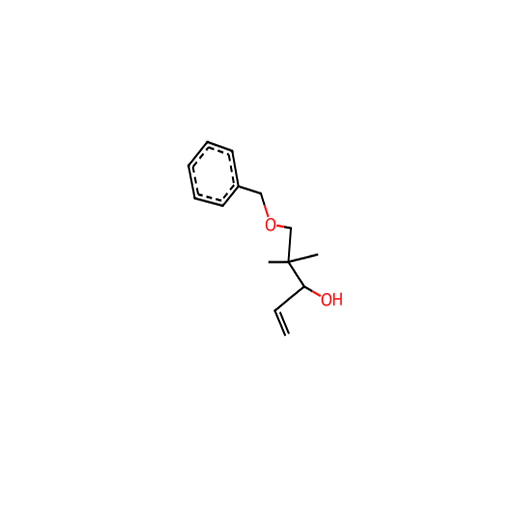 C=CC(O)C(C)(C)COCc1ccccc1